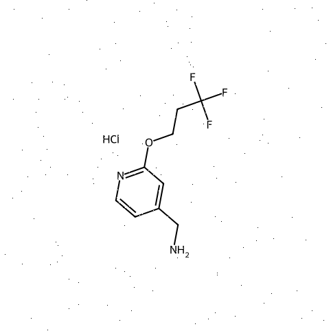 Cl.NCc1ccnc(OCCC(F)(F)F)c1